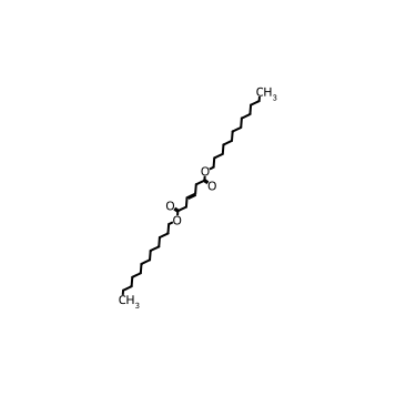 CCCCCCCCCCCCOC(=O)CC=CCC(=O)OCCCCCCCCCCCC